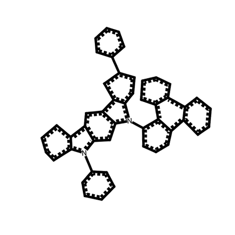 c1ccc(-c2ccc3c(c2)c2cc4c5ccccc5n(-c5ccccc5)c4cc2n3-c2cccc3c4ccccc4c4ccccc4c23)cc1